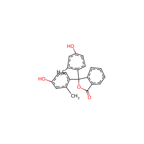 Cc1cc(O)ccc1C1(c2ccc(O)cc2C)OC(=O)c2ccccc21